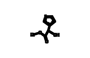 CCOC(=O)C(O)c1ccsc1